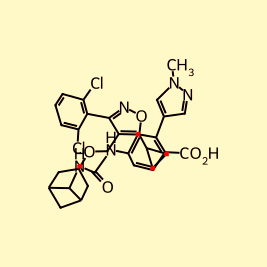 Cn1cc(-c2cc(NC(=O)NC3C4CC(OCc5c(-c6c(Cl)cccc6Cl)noc5C5CC5)CC3C4)ccc2C(=O)O)cn1